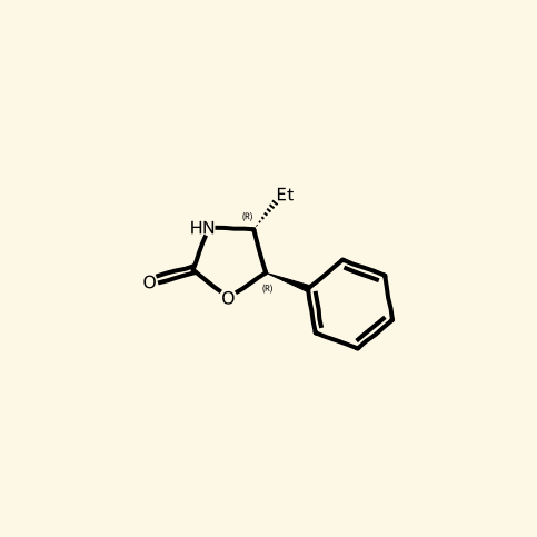 CC[C@H]1NC(=O)O[C@@H]1c1ccccc1